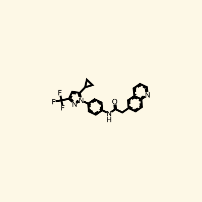 O=C(Cc1ccc2ncccc2c1)Nc1ccc(-n2nc(C(F)(F)F)cc2C2CC2)cc1